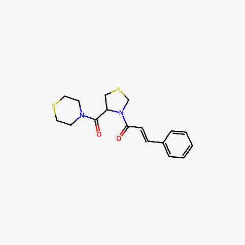 O=C(C1CSCN1C(=O)C=Cc1ccccc1)N1CCSCC1